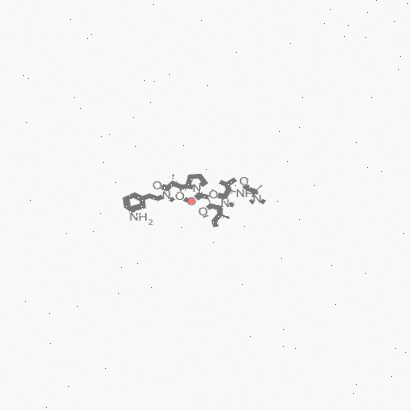 CC[C@H](C)[C@@H]([C@@H](CC(=O)N1CCCC1[C@H](OC)[C@@H](C)C(=O)N(C)CCc1cccc(N)c1)OC)N(C)C(=O)[C@@H](NC(=O)[C@H](C)N(C)C)C(C)C